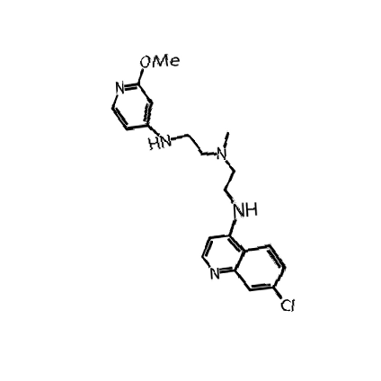 COc1cc(NCCN(C)CCNc2ccnc3cc(Cl)ccc23)ccn1